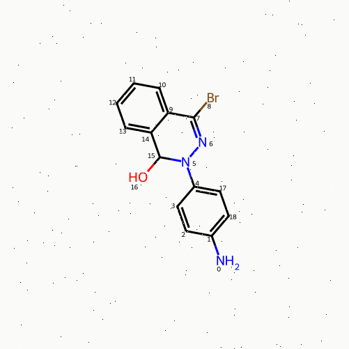 Nc1ccc(N2N=C(Br)c3ccccc3C2O)cc1